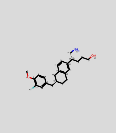 COc1ccc(C[C@@H]2CCc3cc([C@H](CN)CCCO)ccc3C2)cc1F